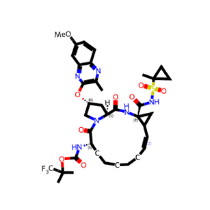 COc1ccc2nc(C)c(O[C@@H]3C[C@H]4C(=O)N[C@]5(C(=O)NS(=O)(=O)C6(C)CC6)CC5/C=C\CCCCC[C@H](NC(=O)OC(C)(C)C(F)(F)F)C(=O)N4C3)nc2c1